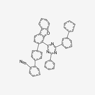 N#Cc1ccccc1-c1ccc(-c2ccc3c(oc4ccccc43)c2-c2nc(-c3ccccc3)nc(-c3cccc(-c4ccccc4)c3)n2)cc1